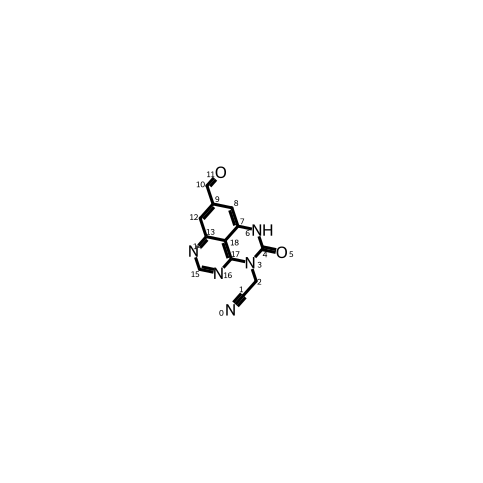 N#CCN1C(=O)Nc2cc(C=O)cc3ncnc1c23